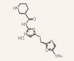 CC(C)(C)c1cnc(CSc2cnc(NC(=O)C3CCCNC3)s2)o1.Cl